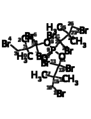 CC(C)(CBr)C(Br)(Br)OP(=O)(OC(Br)(Br)C(C)(C)CBr)C(Br)(Br)C(C)(C)CBr